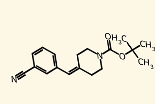 CC(C)(C)OC(=O)N1CCC(=Cc2cccc(C#N)c2)CC1